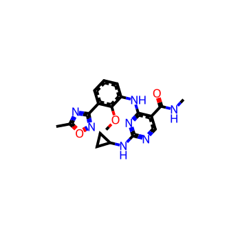 CNC(=O)c1cnc(NC2CC2)nc1Nc1cccc(-c2noc(C)n2)c1OC